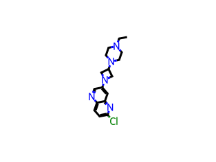 CCN1CCN(C2CN(c3cnc4ccc(Cl)nc4c3)C2)CC1